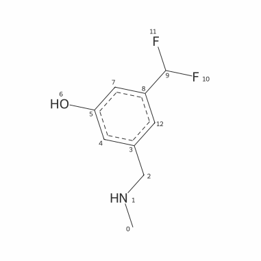 CNCc1cc(O)cc(C(F)F)c1